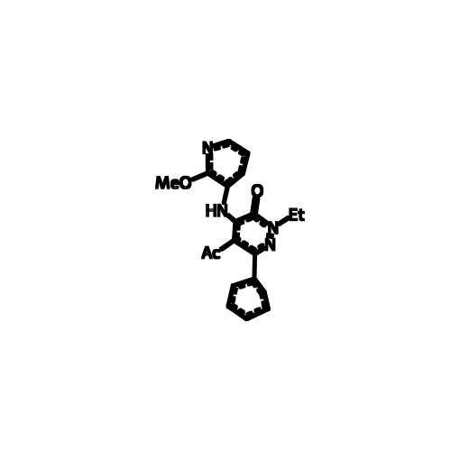 CCn1nc(-c2ccccc2)c(C(C)=O)c(Nc2cccnc2OC)c1=O